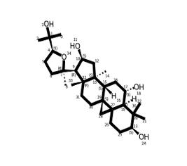 CC(C)(O)[C@@H]1CC[C@](C)([C@H]2[C@@H](O)C[C@@]3(C)[C@@H]4C[C@H](O)[C@H]5C(C)(C)[C@@H](O)CCC56C[C@@]46CC[C@]23C)O1